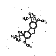 COc1cc2c(cc1C(C)(C)C)-c1cc(C(C)(C)C)c(OC)cc1C2